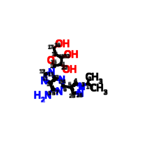 CC(C)n1cc(-c2nc(N)c3ncn(C4OC(CO)[C@@H](O)[C@H]4O)c3n2)cn1